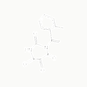 C=C(c1ccccc1C)N1C(=O)NC(=O)C(=O)C1=O